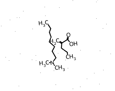 C=C(CCC)C(=O)O.CCCCCCCCN(C)C